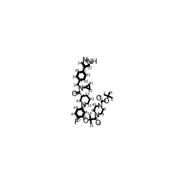 CC(C)(C)OC(=O)N1CCN(C(=O)C(C)(C)Oc2cc(N3CCC[C@@H](C(=O)N(Cc4ccc(-c5cn[nH]c5)cc4)C4CC4)C3)ccc2F)CC1